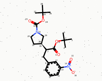 CC(C)(C)OC(=O)C(Cc1cccc([N+](=O)[O-])c1)[C@H]1CCN(C(=O)OC(C)(C)C)C1